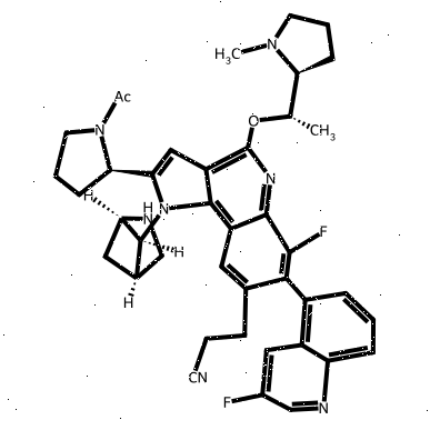 CC(=O)N1CCC[C@@H]1c1cc2c(O[C@@H](C)[C@@H]3CCCN3C)nc3c(F)c(-c4cccc5ncc(F)cc45)c(CCC#N)cc3c2n1[C@H]1[C@H]2CN[C@@H]1C2